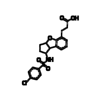 O=C(O)CCc1cccc2c1OC1CCC(NS(=O)(=O)c3ccc(Cl)cc3)C21